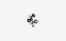 CCOC(=O)C(C1CCOCC1)n1cc(C(=O)C2C(C)(C)C2(C)C)c2ccccc21